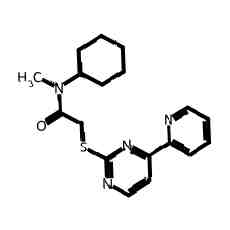 CN(C(=O)CSc1nccc(-c2ccccn2)n1)C1CCCCC1